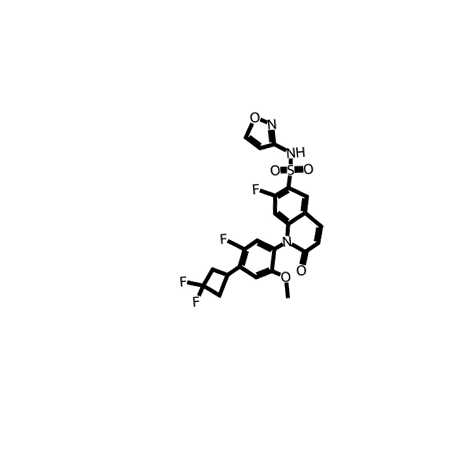 COc1cc(C2CC(F)(F)C2)c(F)cc1-n1c(=O)ccc2cc(S(=O)(=O)Nc3ccon3)c(F)cc21